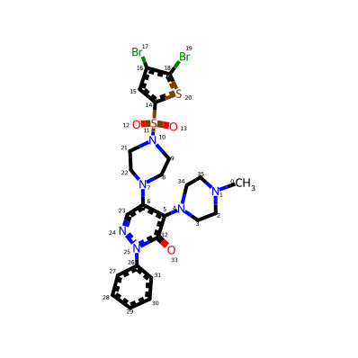 CN1CCN(c2c(N3CCN(S(=O)(=O)c4cc(Br)c(Br)s4)CC3)cnn(-c3ccccc3)c2=O)CC1